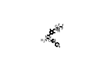 Cc1cc(-c2cnc(N)c(Oc3cnn(C4CCN(C)CC4)c3)n2)cc(C)c1CNC(=O)NC(F)C(F)F